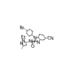 CCn1nc(C)cc1NC(=O)c1nc2cc(C#N)ccc2n1-c1ccc(Br)cc1